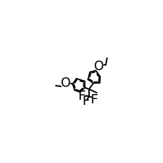 CCOc1ccc(C(C)(c2ccc(OCC)cc2)C(F)(F)F)cc1